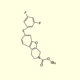 CC(C)(C)OC(=O)N1CCc2c(oc3cc(Sc4cc(F)cc(F)c4)ccc23)C1